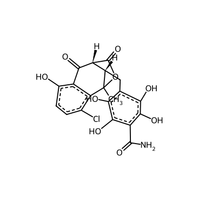 CC12OC(=O)[C@@H](C(=O)c3c(O)ccc(Cl)c31)[C@@H]2Cc1c(O)c(O)c(C(N)=O)c(O)c1O